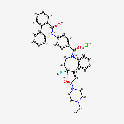 CCN1CCN(C(=O)C=C2c3ccccc3N(C(=O)c3ccc(NC(=O)c4ccccc4-c4ccccc4)cc3)CCC2(F)F)CC1.Cl